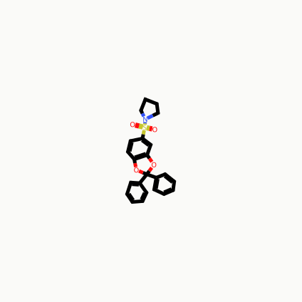 O=S(=O)(c1ccc2c(c1)OC(c1ccccc1)(c1ccccc1)O2)N1CCCC1